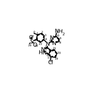 Cc1ccc(N(c2nccc(N)n2)c2n[nH]c3c(Cl)cccc23)cc1S(C)(=O)=O